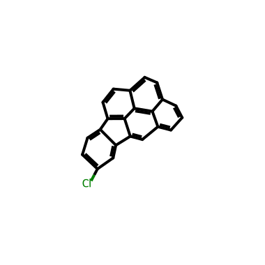 Clc1ccc2c(c1)-c1cc3cccc4ccc5ccc-2c1c5c43